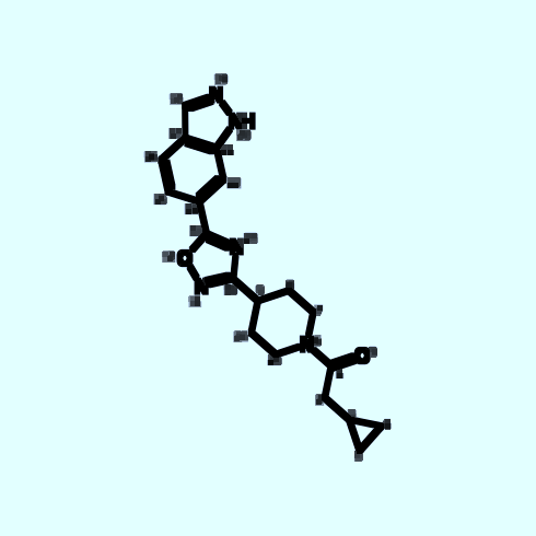 O=C(CC1CC1)N1CCC(c2noc(-c3ccc4cn[nH]c4c3)n2)CC1